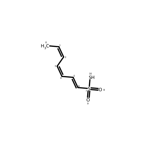 C\C=C/C=C\C=C\S(=O)(=O)S